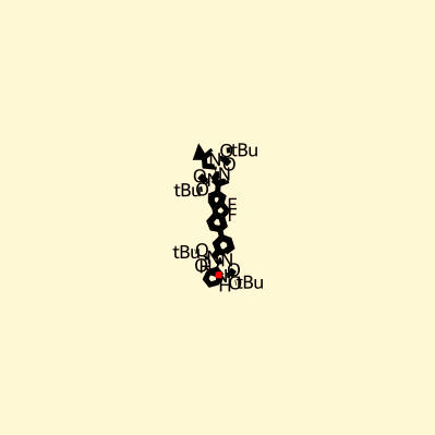 CC(C)(C)OC(=O)N1CC2(CC2)C[C@H]1c1ncc(-c2ccc3c(c2)C(F)(F)c2cc(-c4ccc5nc([C@@H]6[C@H]7CC[C@H](C7)N6C(=O)OC(C)(C)C)n(C(=O)OC(C)(C)C)c5c4)ccc2-3)n1C(=O)OC(C)(C)C